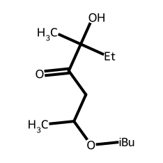 CCC(C)OC(C)CC(=O)C(C)(O)CC